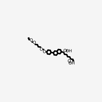 C=COCOCCCCOCOC1CCC(C2CCC3CC(C(CCCCC(C=C)OO)OO)CCC3C2)CC1